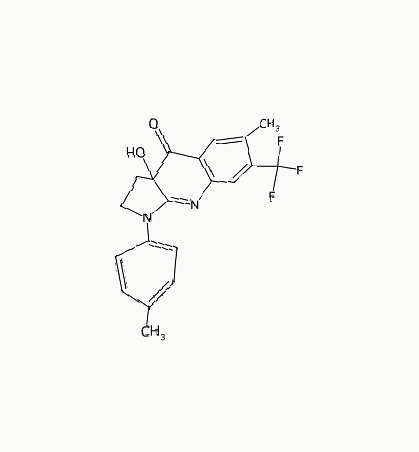 Cc1ccc(N2CCC3(O)C(=O)c4cc(C)c(C(F)(F)F)cc4N=C23)cc1